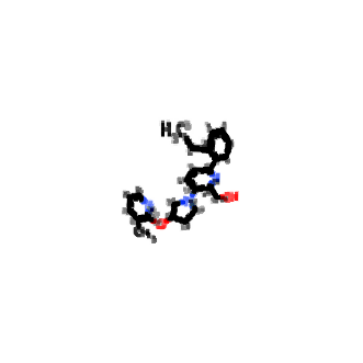 CCc1ccccc1-c1ccc(N2CCC(Oc3ncccc3C)C2)c(CO)n1